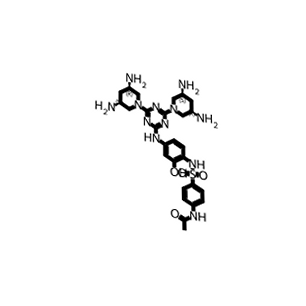 CC(=O)Nc1ccc(S(=O)(=O)Nc2ccc(Nc3nc(N4C[C@H](N)C[C@H](N)C4)nc(N4C[C@H](N)C[C@H](N)C4)n3)cc2O)cc1